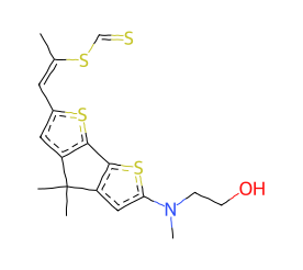 C/C(=C/c1cc2c(s1)-c1sc(N(C)CCO)cc1C2(C)C)SC=S